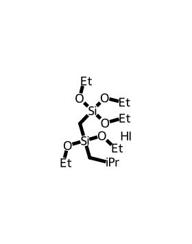 CCO[Si](CC(C)C)(C[Si](OCC)(OCC)OCC)OCC.I